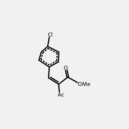 COC(=O)/C(=C\c1ccc(Cl)cc1)C(C)=O